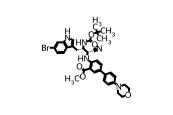 COC(=O)c1cc(-c2ccc(N3CCOCC3)cc2)ccc1N[C@@H](C#N)[C@H](Cc1c[nH]c2cc(Br)ccc12)NC(=O)OC(C)(C)C